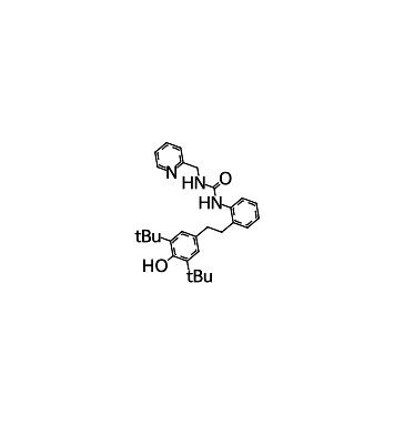 CC(C)(C)c1cc(CCc2ccccc2NC(=O)NCc2ccccn2)cc(C(C)(C)C)c1O